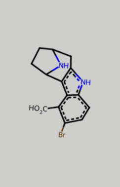 O=C(O)c1c(Br)ccc2[nH]c3c(c12)C1CCC(C3)N1